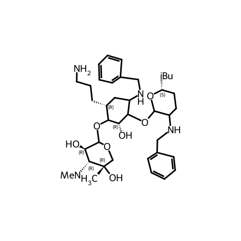 CCC(C)[C@@H]1CCC(NCc2ccccc2)C(OC2C(NCc3ccccc3)C[C@@H](CCCN)C(OC3OC[C@](C)(O)[C@H](NC)[C@H]3O)[C@H]2O)O1